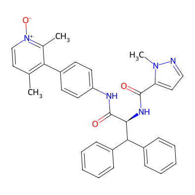 Cc1cc[n+]([O-])c(C)c1-c1ccc(NC(=O)[C@@H](NC(=O)c2ccnn2C)C(c2ccccc2)c2ccccc2)cc1